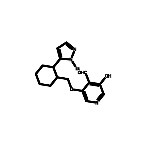 CCn1nccc1C1CCCCC1COc1cncc(O)c1C=O